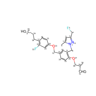 Cc1cc(CF)nn1Cc1cc(COc2ccc(CCC(=O)O)c(F)c2)ccc1OCC(C)C=O